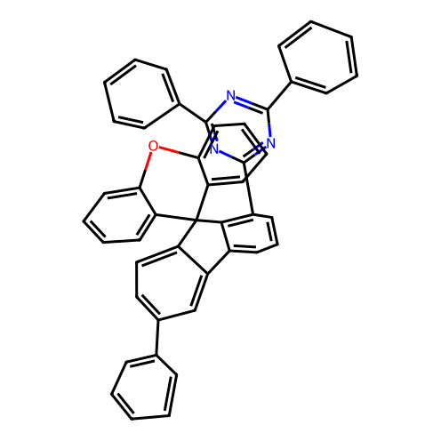 c1ccc(-c2ccc3c(c2)-c2cccc(-c4nc(-c5ccccc5)nc(-c5ccccc5)n4)c2C32c3ccccc3Oc3ccccc32)cc1